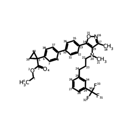 CCOC(=O)C1(c2ccc(-c3ccc(-c4onc(C)c4N(C)CCCc4cccc(C(F)(F)F)c4)cc3)cc2)CC1